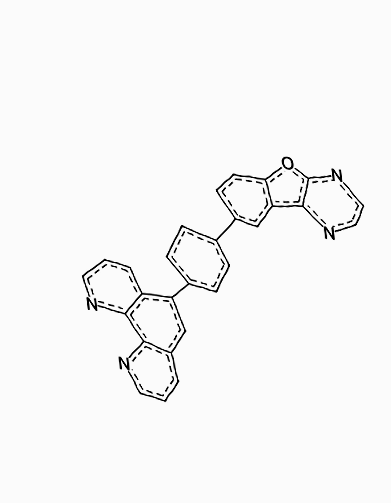 c1cnc2c(c1)cc(-c1ccc(-c3ccc4oc5nccnc5c4c3)cc1)c1cccnc12